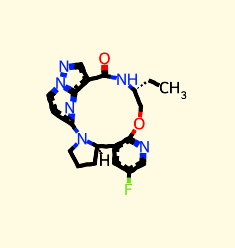 CC[C@@H]1COc2ncc(F)cc2[C@H]2CCCN2c2ccn3ncc(c3n2)C(=O)N1